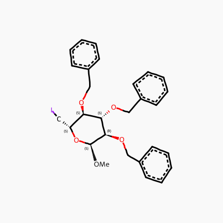 CO[C@H]1O[C@H](CI)[C@@H](OCc2ccccc2)[C@H](OCc2ccccc2)[C@H]1OCc1ccccc1